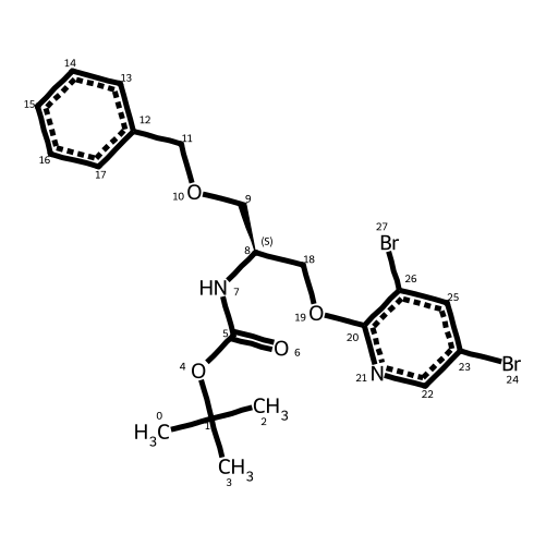 CC(C)(C)OC(=O)N[C@@H](COCc1ccccc1)COc1ncc(Br)cc1Br